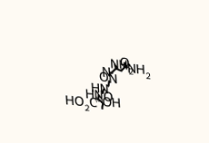 CC(O)[C@H](NC(=O)NCc1nc(C(N)CC(N)=O)no1)C(=O)O